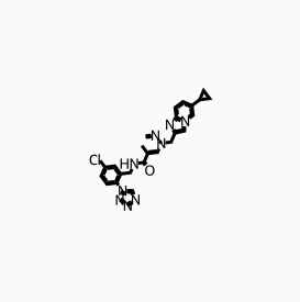 C=NN(/C=C(\C)C(=O)NCc1cc(Cl)ccc1-n1cnnn1)Cc1cn2cc(C3CC3)ccc2n1